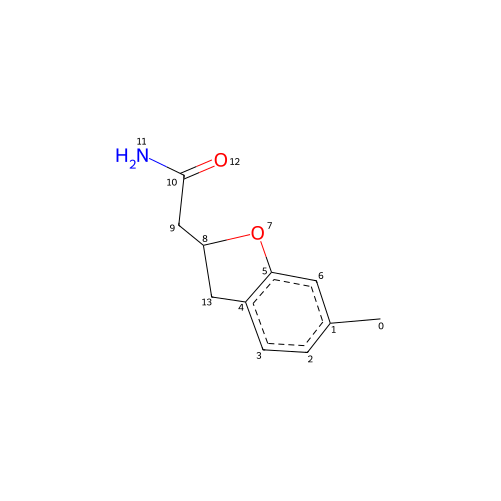 Cc1ccc2c(c1)OC(CC(N)=O)C2